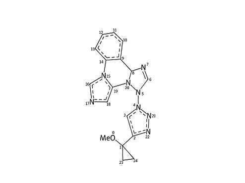 COC1(c2cn(N3C=NC4c5ccccc5-n5cncc5N43)nn2)CC1